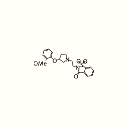 COc1ccccc1OC1CCN(CCN2C(=O)c3ccccc3S2(=O)=O)C1